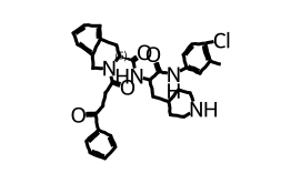 Cc1cc(NC(=O)C(CC2CCNCC2)NC(=O)[C@@H]2Cc3ccccc3CN2C(=O)CCC(=O)c2ccccc2)ccc1Cl